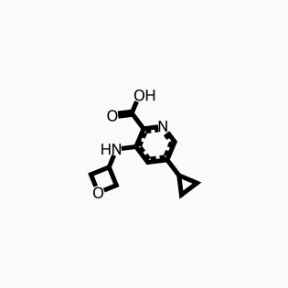 O=C(O)c1ncc(C2CC2)cc1NC1COC1